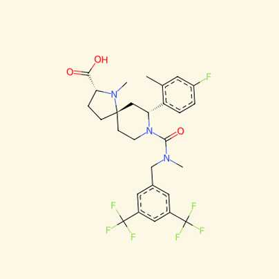 Cc1cc(F)ccc1[C@H]1C[C@]2(CC[C@H](C(=O)O)N2C)CCN1C(=O)N(C)Cc1cc(C(F)(F)F)cc(C(F)(F)F)c1